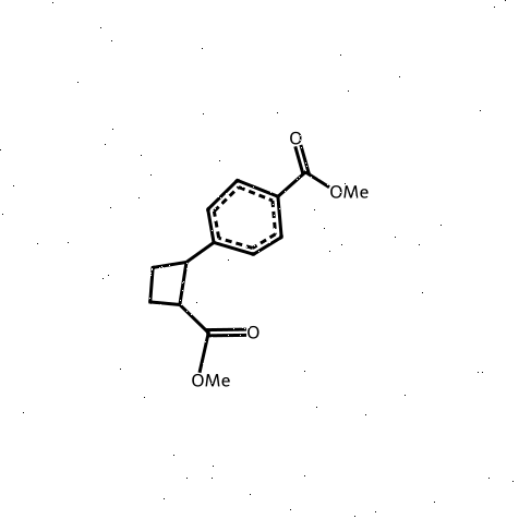 COC(=O)c1ccc(C2CCC2C(=O)OC)cc1